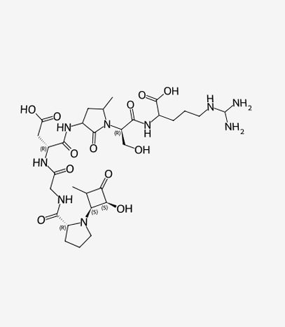 CC1C(=O)[C@@H](O)[C@H]1N1CCC[C@@H]1C(=O)NCC(=O)N[C@H](CC(=O)O)C(=O)NC1CC(C)N([C@H](CO)C(=O)NC(CCCNC(N)N)C(=O)O)C1=O